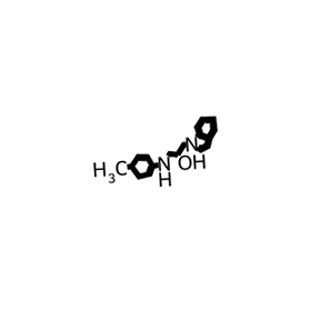 CC1C=CC(NCC(O)Cn2ccc3ccccc32)=CC1